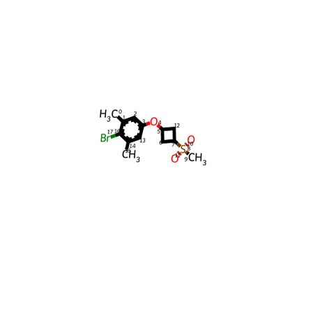 Cc1cc(OC2CC(S(C)(=O)=O)C2)cc(C)c1Br